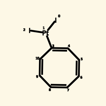 [I][Pt]([I])[C]1=CC=CC=CC=C1